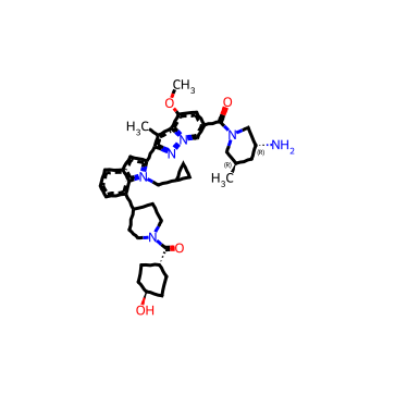 COc1cc(C(=O)N2C[C@H](C)C[C@@H](N)C2)cn2nc(-c3cc4cccc(C5CCN(C(=O)[C@H]6CC[C@H](O)CC6)CC5)c4n3CC3CC3)c(C)c12